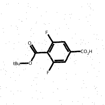 CC(C)(C)OC(=O)c1c(F)cc(C(=O)O)cc1F